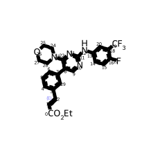 CCOC(=O)/C=C/c1cccc(-c2cnc(Nc3ccc(F)c(C(F)(F)F)c3)nc2N2CCOCC2)c1